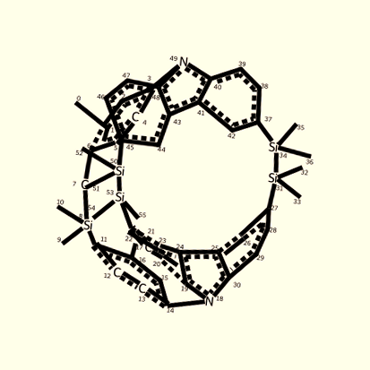 Cc1cc2ccc1C[Si](C)(C)c1ccc(cc1C)-n1c3ccc4cc3c3cc(ccc31)[Si](C)(C)[Si](C)(C)c1ccc3c(c1)c1cc(ccc1n3-2)[Si](C)(C)[Si]4(C)C